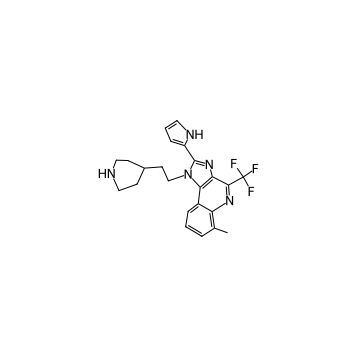 Cc1cccc2c1nc(C(F)(F)F)c1nc(-c3ccc[nH]3)n(CCC3CCNCC3)c12